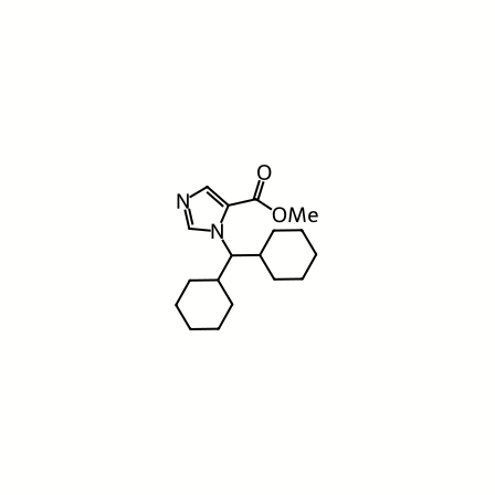 COC(=O)c1cncn1C(C1CCCCC1)C1CCCCC1